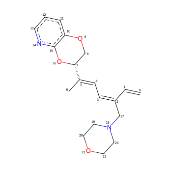 C=C/C(=C\C=C(/C)[C@H]1COc2cccnc2O1)CN1CCOCC1